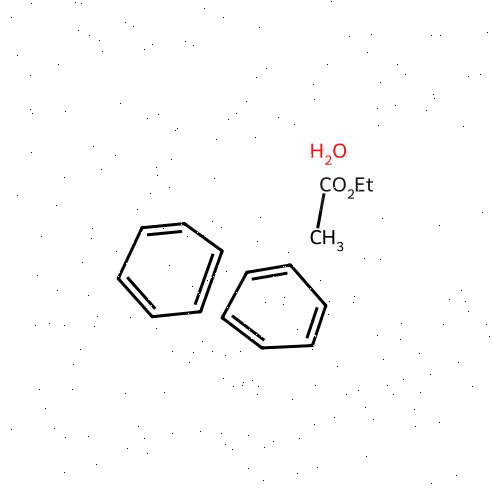 CCOC(C)=O.O.c1ccccc1.c1ccccc1